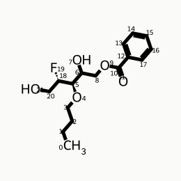 CCCCO[C@H](C(O)COC(=O)c1ccccc1)[C@@H](F)CO